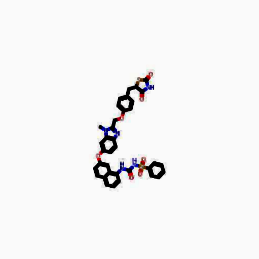 Cn1c(COc2ccc(CC3SC(=O)NC3=O)cc2)nc2ccc(Oc3ccc4cccc(NC(=O)NS(=O)(=O)c5ccccc5)c4c3)cc21